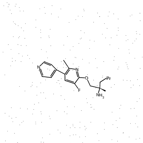 Cc1nc(OC[C@@](C)(N)CC(C)C)c(F)cc1-c1ccncc1